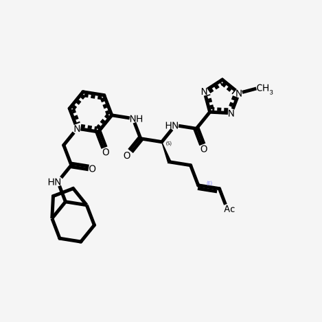 CC(=O)/C=C/CC[C@H](NC(=O)c1ncn(C)n1)C(=O)Nc1cccn(CC(=O)NC2C3CCCC2CC3)c1=O